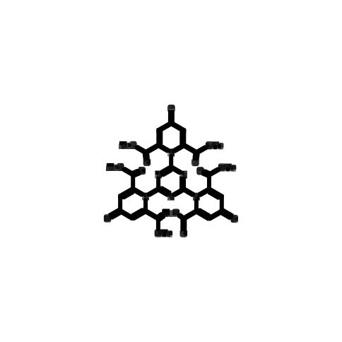 COC(=O)c1cc(=O)cc(C(=O)OC)n1-c1nc(-n2c(C(=O)OC)cc(=O)cc2C(=O)OC)nc(-n2c(C(=O)OC)cc(=O)cc2C(=O)OC)n1